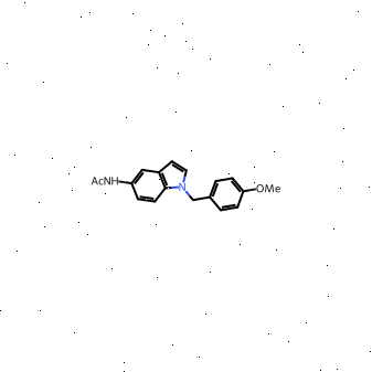 COc1ccc(Cn2ccc3cc(NC(C)=O)ccc32)cc1